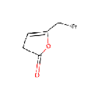 CC(C)CC1=CCC(=O)O1